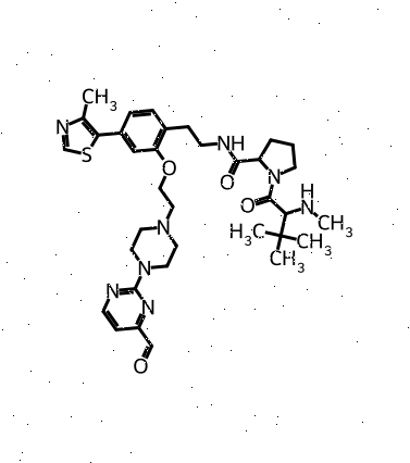 CNC(C(=O)N1CCCC1C(=O)NCCc1ccc(-c2scnc2C)cc1OCCN1CCN(c2nccc(C=O)n2)CC1)C(C)(C)C